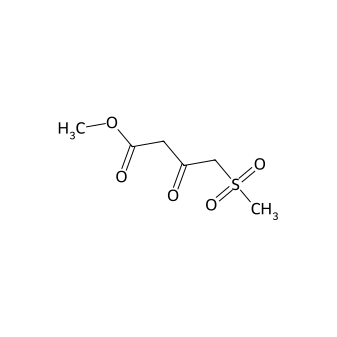 COC(=O)CC(=O)CS(C)(=O)=O